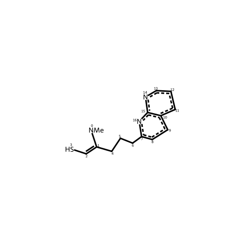 CN/C(=C\S)CCCc1ccc2cccnc2n1